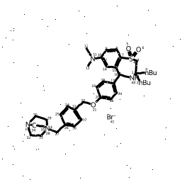 CCCCC1(CCCC)CS(=O)(=O)c2ccc(N(C)C)cc2C(c2ccc(OCc3ccc(C[N+]45CCN(CC4)CC5)cc3)cc2)N1.[Br-]